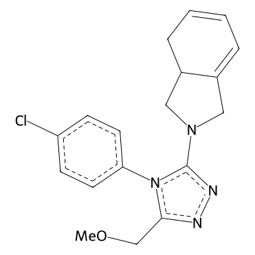 COCc1nnc(N2CC3=CC=CCC3C2)n1-c1ccc(Cl)cc1